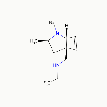 C[C@@H]1C[C@@]2(CNCC(F)(F)F)C=C[C@H]2N1C(C)(C)C